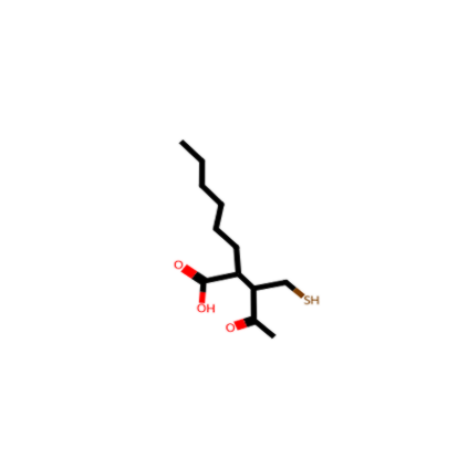 CCCCCCC(C(=O)O)C(CS)C(C)=O